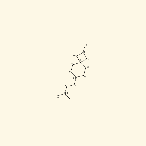 CC1CC2(CCN(CCN(C)C)CC2)C1